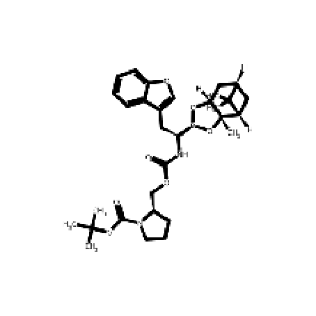 CC(C)(C)OC(=O)N1CCC[C@@H]1COC(=O)N[C@@H](Cc1coc2ccccc12)B1O[C@@H]2C[C@@H]3C[C@@H](C3(C)C)[C@]2(C)O1